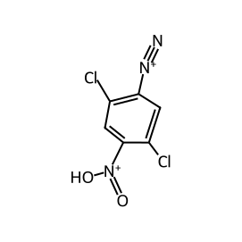 N#[N+]c1cc(Cl)c([N+](=O)O)cc1Cl